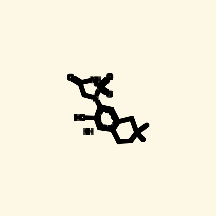 CC1(C)CCc2cc(O)c(N3CC(=O)NS3(=O)=O)cc2C1.[KH]